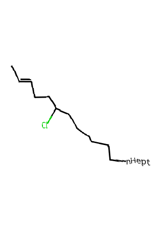 CC=CCCC(Cl)CCCCCCCCCCCCC